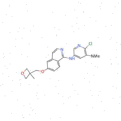 CNc1cc(Nc2nccc3cc(OCC4(C)COC4)ccc23)cnc1Cl